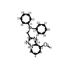 COc1cccn2nc(CP(c3ccccc3)c3ccccc3)nc12